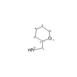 CCCC[C]1CCCCO1